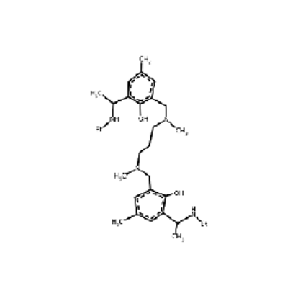 CCNC(C)c1cc(C)cc(CN(C)CCCN(C)Cc2cc(C)cc(C(C)NCC)c2O)c1O